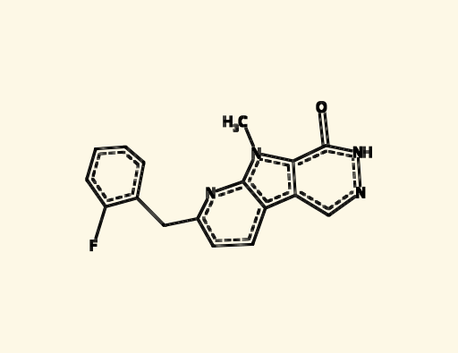 Cn1c2nc(Cc3ccccc3F)ccc2c2cn[nH]c(=O)c21